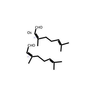 CC(C)=CCC/C(C)=C\C=O.CC(C)=CCC/C(C)=C\C=O.[Os]